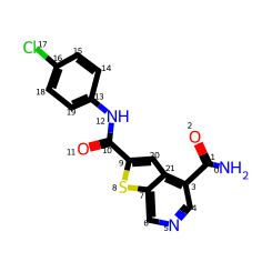 NC(=O)c1cncc2sc(C(=O)Nc3ccc(Cl)cc3)cc12